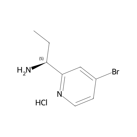 CC[C@H](N)c1cc(Br)ccn1.Cl